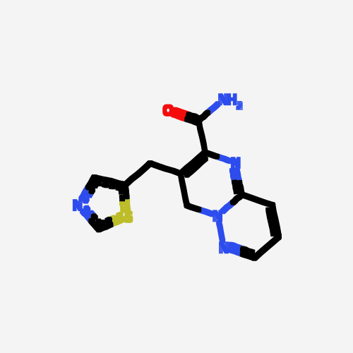 NC(=O)C1=C(Cc2cncs2)CN2N=CC=CC2=N1